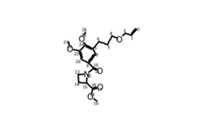 C=CCOCCCc1cc(C(=O)N2CCC2C(=O)OC)cc(OC)c1OC